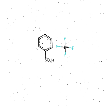 F[B-](F)(F)F.O=S(=O)(O)c1ccccc1